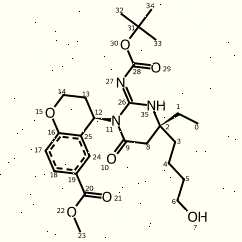 CC[C@@]1(CCCCO)CC(=O)N([C@@H]2CCOc3ccc(C(=O)OC)cc32)/C(=N/C(=O)OC(C)(C)C)N1